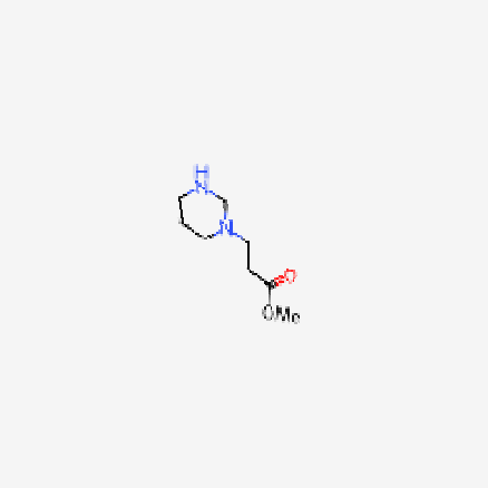 COC(=O)CCN1CCCNC1